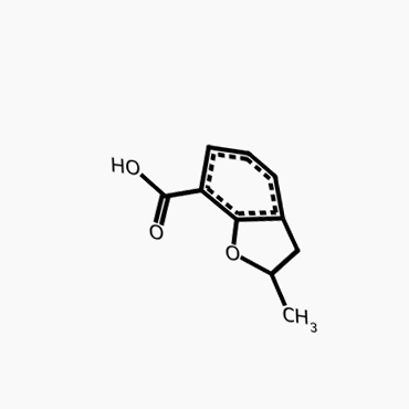 CC1Cc2cccc(C(=O)O)c2O1